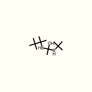 CC(C)(C)BC(C)(O)BC(C)(C)C(C)(C)C